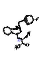 N#C/C(=C\c1cn(Cc2ccc(F)cc2)c2ccccc12)C(=O)O